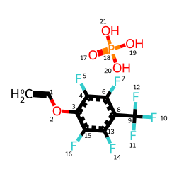 C=COc1c(F)c(F)c(C(F)(F)F)c(F)c1F.O=P(O)(O)O